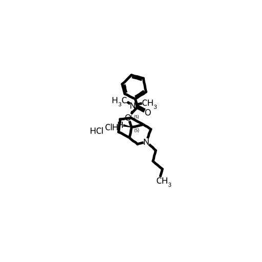 CCCCN1CC2CC[C@H](N(C)C)C(C1)[C@H]2OC(=O)c1ccccc1.Cl.Cl